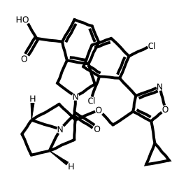 O=C(O)c1cccc2c1CN(C(=O)N1[C@@H]3CC[C@H]1CC(OCc1c(-c4c(Cl)cccc4Cl)noc1C1CC1)C3)C2